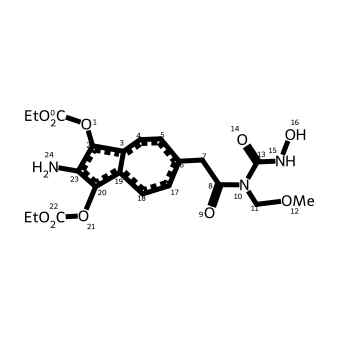 CCOC(=O)Oc1c2ccc(CC(=O)N(COC)C(=O)NO)ccc-2c(OC(=O)OCC)c1N